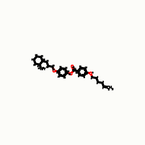 C=CCCCCOc1ccc(C(=O)Oc2ccc(OCCCC3CCCCC3CCC)cc2)cc1